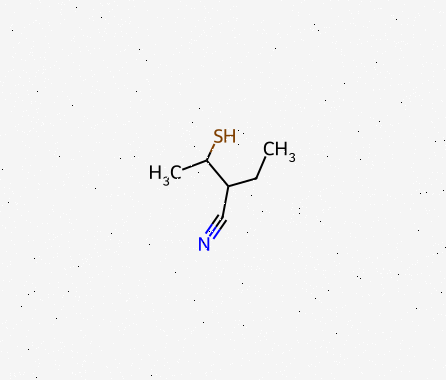 CCC(C#N)C(C)S